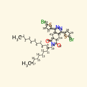 CCCCCCCCCCC(CCCCCCCC)CN1C(=O)C2Cc3c(-c4ccc(Br)s4)nnc(-c4ccc(Br)s4)c3CC2C1=O